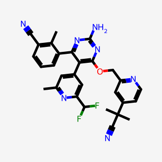 Cc1cc(-c2c(OCc3cc(C(C)(C)C#N)ccn3)nc(N)nc2-c2cccc(C#N)c2C)cc(C(F)F)n1